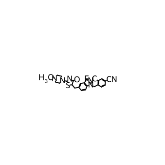 CN1CCN(C2=NC(=O)C(Cc3ccc4c(cnn4Cc4ccc(C#N)cc4C(F)(F)F)c3)S2)CC1